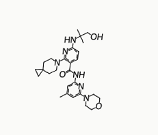 Cc1cc(NC(=O)c2ccc(NC(C)(C)CO)nc2N2CCC3(CC2)CC3)nc(N2CCOCC2)c1